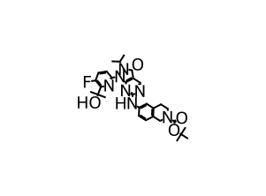 CC(C)n1c(=O)c2cnc(Nc3ccc4c(c3)CCN(C(=O)OC(C)(C)C)C4)nc2n1-c1ccc(F)c(C(C)(C)O)n1